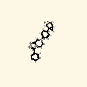 c1ccc(-c2nnc3n2CCN(c2ccc(C45CNCC4C5)cc2)C3)cc1